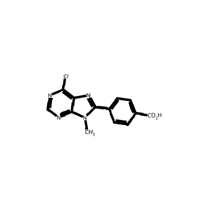 Cn1c(-c2ccc(C(=O)O)cc2)nc2c(Cl)ncnc21